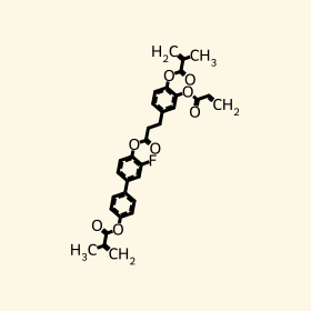 C=CC(=O)Oc1cc(CCC(=O)Oc2ccc(-c3ccc(OC(=O)C(=C)C)cc3)cc2F)ccc1OC(=O)C(=C)C